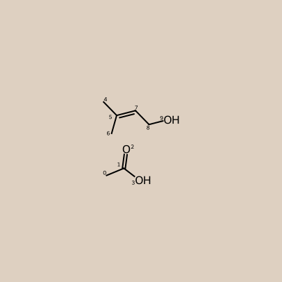 CC(=O)O.CC(C)=CCO